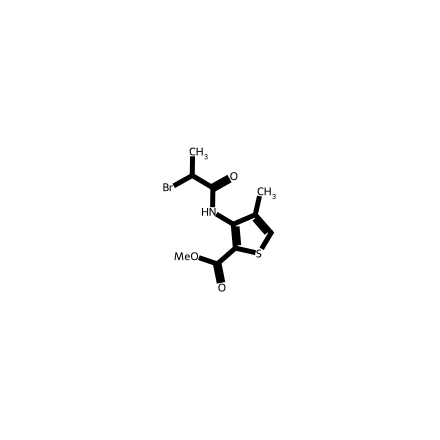 COC(=O)c1scc(C)c1NC(=O)C(C)Br